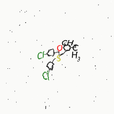 Cc1cc(C)cc(/C=C(/SCc2ccc(Cl)cc2)C(=O)c2ccc(Cl)cc2)c1